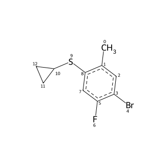 Cc1cc(Br)c(F)cc1SC1CC1